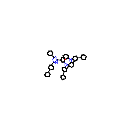 c1ccc(-c2ccc(-c3nc(-c4ccccc4)nc(-c4cccc(-n5c6ccc(-c7ccccc7)cc6c6ccc7c8cc(-c9ccccc9)ccc8n(-c8ccccc8)c7c65)c4)n3)cc2)cc1